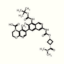 Cc1c(-c2cc3cc(NC(=O)O[C@H]4C[C@@H](C(=O)N(C)C)C4)ncc3c(NC(=O)OC(C)(C)C)c2F)cnc2c1N(C(=O)O)CCO2